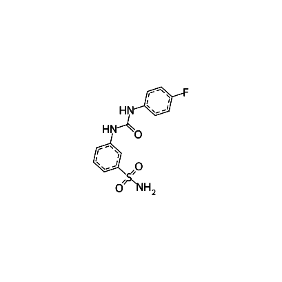 NS(=O)(=O)c1cccc(NC(=O)Nc2ccc(F)cc2)c1